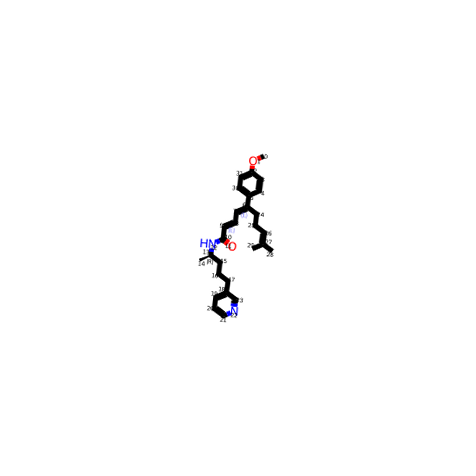 COc1ccc(/C(=C/C=C/C(=O)N[C@H](C)CCCc2cccnc2)CCC=C(C)C)cc1